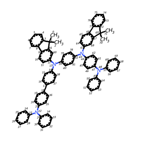 CC1(C)c2ccccc2-c2ccc(N(c3ccc(-c4ccc(N(c5ccccc5)c5ccccc5)cc4)cc3)c3ccc(N(c4ccc(N(c5ccccc5)c5ccccc5)cc4)c4ccc5c(c4)C(C)(C)c4ccccc4-5)cc3)cc21